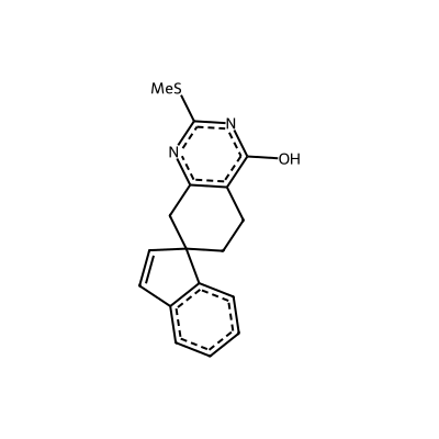 CSc1nc(O)c2c(n1)CC1(C=Cc3ccccc31)CC2